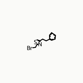 BrCc1nc(CCc2ccccc2)cs1